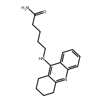 NC(=O)CCCCNc1c2c(nc3ccccc13)CCCC2